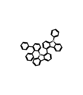 c1ccc(-c2cccc(-n3c4ccccc4c4cccc(-c5cccc6c5c5ccccc5n6-c5ccccc5)c43)c2-c2ccccc2)cc1